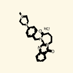 CN1CCN(c2ccc(CN3C(=O)CCCn4c3nc3ccccc3c4=O)cc2)CC1.Cl